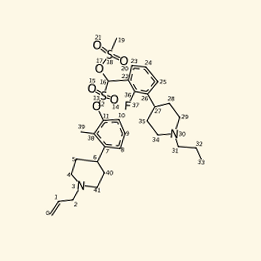 C=CCN1CCC(c2cccc(OS(=O)(=O)C(OS(C)(=O)=O)c3cccc(C4CCN(CCC)CC4)c3F)c2C)CC1